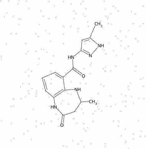 Cc1cc(NC(=O)c2cccc3c2NC(C)CC(=O)N3)n[nH]1